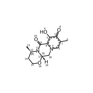 Cc1cn2c(c(O)c1=O)C(=O)N1[C@H](C)CCO[C@H]1C2